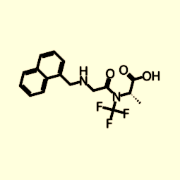 C[C@@H](C(=O)O)N(C(=O)CNCc1cccc2ccccc12)C(F)(F)F